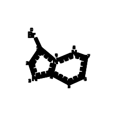 Brc1cnc2cc[c]nn12